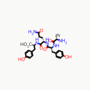 CC(C)[C@H](N)C(=O)N[C@@H](Cc1ccc(O)cc1)C(=O)N[C@@H](CCC(N)=O)C(=O)N[C@@H](Cc1ccc(O)cc1)C(=O)O